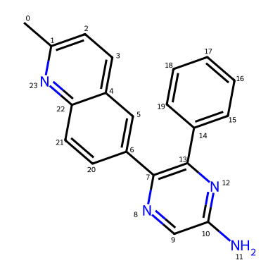 Cc1ccc2cc(-c3ncc(N)nc3-c3ccccc3)ccc2n1